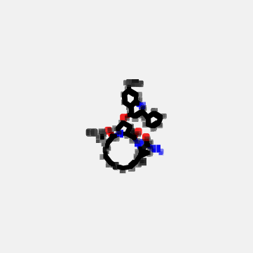 COc1ccc2c(O[C@@H]3C[C@H]4C(=O)N[C@]5(C(N)=O)C[C@H]5/C=C\CCCCC[C@H](CC(=O)O)C(=O)N4C3)cc(-c3ccccc3)nc2c1